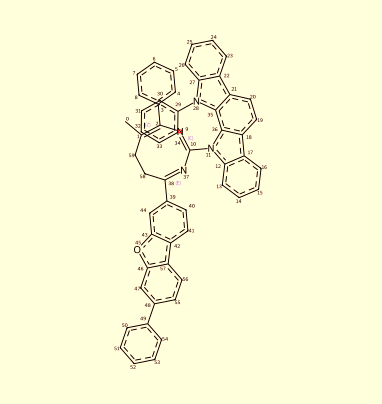 C/C1=C(c2ccccc2)/N=C(n2c3ccccc3c3ccc4c5ccccc5n(-c5ccccc5)c4c32)\N=C(\c2ccc3c(c2)oc2cc(-c4ccccc4)ccc23)CC1